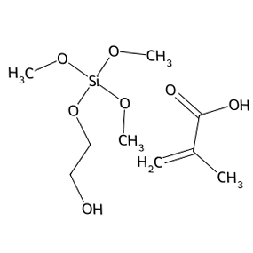 C=C(C)C(=O)O.CO[Si](OC)(OC)OCCO